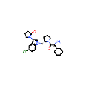 N[C@H](C(=O)N1CCC[C@H]1Cn1cc(N2CCCC2=O)c2cc(Cl)ccc21)C1CCCCC1